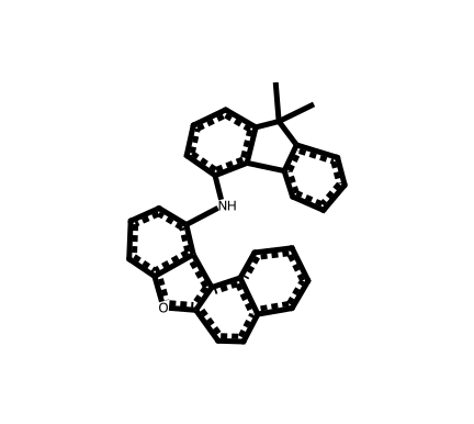 CC1(C)c2ccccc2-c2c(Nc3cccc4oc5ccc6ccccc6c5c34)cccc21